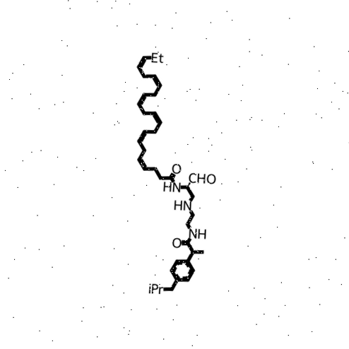 CC/C=C\C/C=C\C/C=C\C/C=C\C/C=C\C/C=C\CCC(=O)N[C@H](C=O)CNCCNC(=O)C(C)c1ccc(CC(C)C)cc1